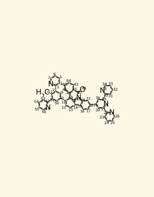 Cc1c(-c2ccccn2)cc(-c2ccc3c4ccc(-c5cc(-c6ccccn6)nc(-c6ccccn6)c5)cc4n4c(=O)c5ccccc5c2c34)cc1-c1ccccn1